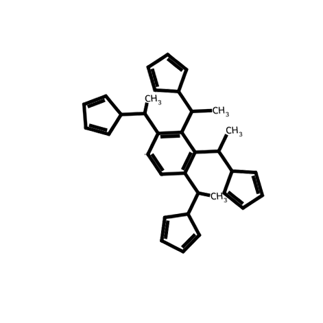 CC(c1[c]cc(C(C)C2C=CC=C2)c(C(C)C2C=CC=C2)c1C(C)C1C=CC=C1)C1C=CC=C1